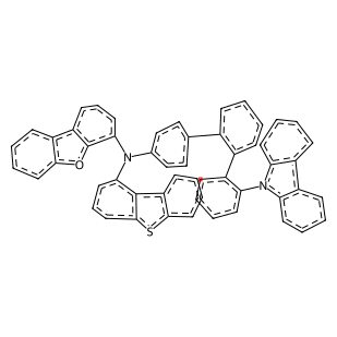 c1ccc(-c2ccccc2-n2c3ccccc3c3ccccc32)c(-c2ccc(N(c3cccc4c3oc3ccccc34)c3cccc4sc5ccccc5c34)cc2)c1